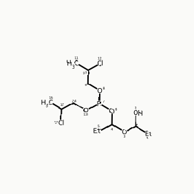 CCC(O)OC(CC)OP(OCC(C)Cl)OCC(C)Cl